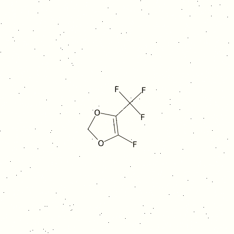 FC1=C(C(F)(F)F)OCO1